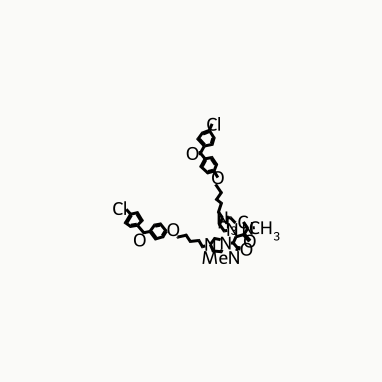 CNC(=O)C(C(C(=O)N(C)C)N1CCN(CCCCCOc2ccc(C(=O)c3ccc(Cl)cc3)cc2)CC1)N1CCN(CCCCCOc2ccc(C(=O)c3ccc(Cl)cc3)cc2)CC1